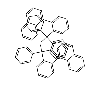 c1ccc(C(OC(c2ccccc2)(c2ccccc2)c2ccccc2-c2cccc3ccccc23)(c2ccccc2)c2ccccc2-c2cccc3ccccc23)cc1